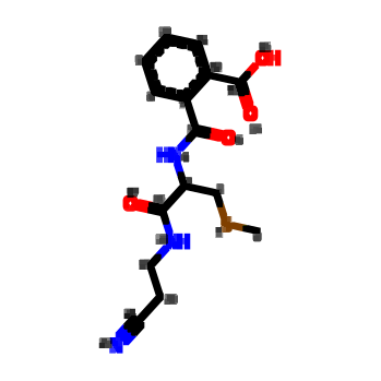 CSCC(NC(=O)c1ccccc1C(=O)O)C(=O)NCCC#N